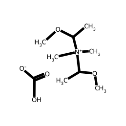 COC(C)[N+](C)(C)C(C)OC.O=C([O-])O